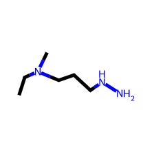 CCN(C)CCCNN